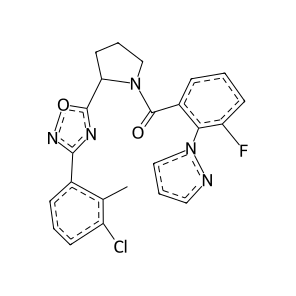 Cc1c(Cl)cccc1-c1noc(C2CCCN2C(=O)c2cccc(F)c2-n2cccn2)n1